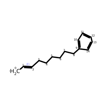 [CH2]/C=C/CCCCCCc1ccccc1